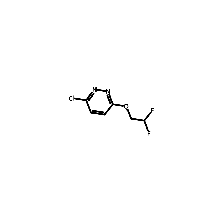 FC(F)COc1ccc(Cl)nn1